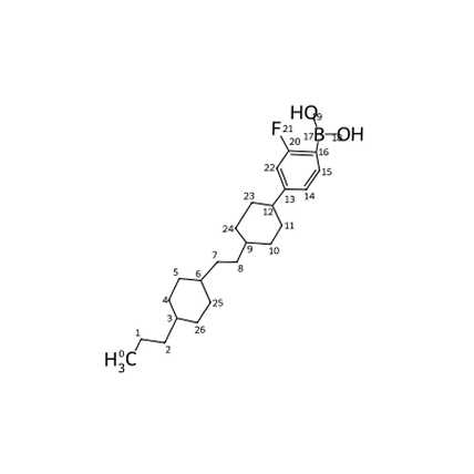 CCCC1CCC(CCC2CCC(c3ccc(B(O)O)c(F)c3)CC2)CC1